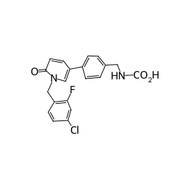 O=C(O)NCc1ccc(-c2ccc(=O)n(Cc3ccc(Cl)cc3F)c2)cc1